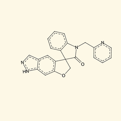 O=C1N(Cc2ccccn2)c2ccccc2C12COc1cc3[nH]ncc3cc12